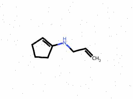 C=CCNC1=CCCC1